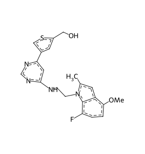 COc1ccc(F)c2c1cc(C)n2CCNc1cc(-c2csc(CO)c2)ncn1